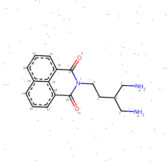 NCC(CN)CCN1C(=O)c2cccc3cccc(c23)C1=O